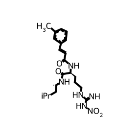 Cc1cccc(/C=C/C(=O)N[C@@H](CCCNC(=N)N[N+](=O)[O-])C(=O)N[CH]CC(C)C)c1